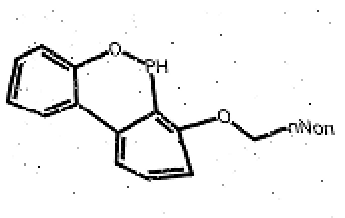 CCCCCCCCCCOc1cccc2c1POc1ccccc1-2